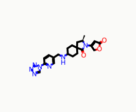 C[C@@H]1CC2(CCC(NCc3ccc(-n4cnnn4)nc3)CC2)C(=O)N1C1=CC(=O)OC1